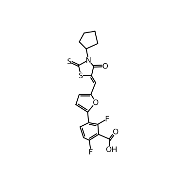 O=C(O)c1c(F)ccc(-c2ccc(/C=C3\SC(=S)N(C4CCCC4)C3=O)o2)c1F